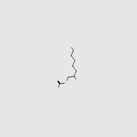 CCCCCCC(C)CNC(=O)O